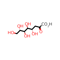 O=C(O)C(=O)C[C@H](O)[C@H](O)[C@@H](O)[C@@H](O)CO